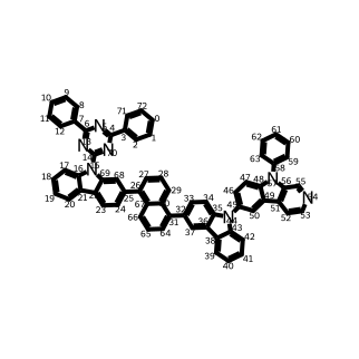 c1ccc(-c2nc(-c3ccccc3)nc(-n3c4ccccc4c4ccc(-c5cccc6c(-c7ccc8c(c7)c7ccccc7n8-c7ccc8c(c7)c7ccncc7n8-c7ccccc7)cccc56)cc43)n2)cc1